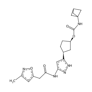 Cc1cc(CC(=O)Nc2cc([C@H]3CC[C@@H](OC(=O)NC45CC(C4)C5)C3)[nH]n2)on1